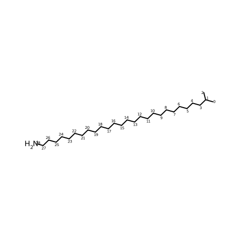 CC(C)CCCCCCCCCCCCCCCCCCCCCCCCCN